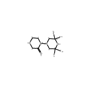 O=C1COCCN1N1CC(F)(F)OC(F)(F)C1